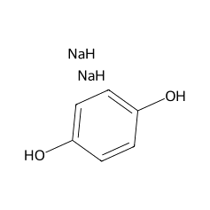 Oc1ccc(O)cc1.[NaH].[NaH]